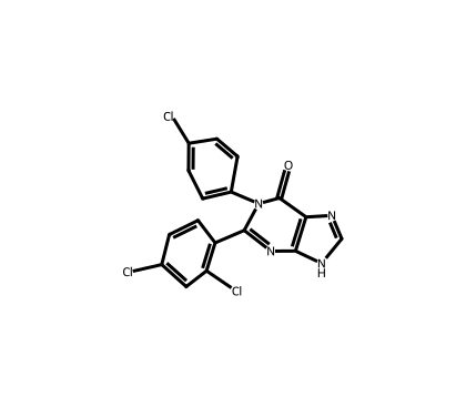 O=c1c2nc[nH]c2nc(-c2ccc(Cl)cc2Cl)n1-c1ccc(Cl)cc1